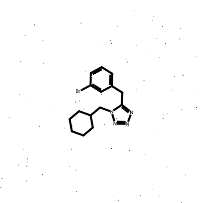 Brc1cccc(Cc2nnnn2CC2CCCCC2)c1